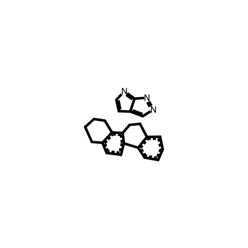 C1=CC2=CN=NC2=N1.c1ccc2c(c1)CCc1c-2ccc2c1CCCC2